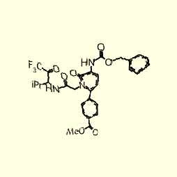 COC(=O)c1ccc(-c2ccc(NC(=O)OCc3ccccc3)c(=O)n2CC(=O)NC(C(=O)C(F)(F)F)C(C)C)cc1